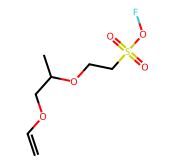 C=COCC(C)OCCS(=O)(=O)OF